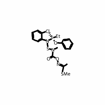 CCP(=S)(Oc1ccccc1)N(SN(C)C(=O)ON=C(C)SC)c1ccccc1Cl